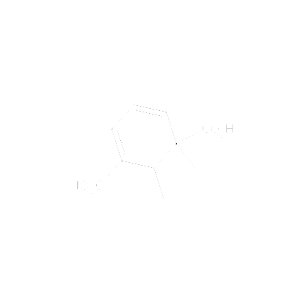 CC1C(C(=O)O)=CC=CC1(C)C(=O)O